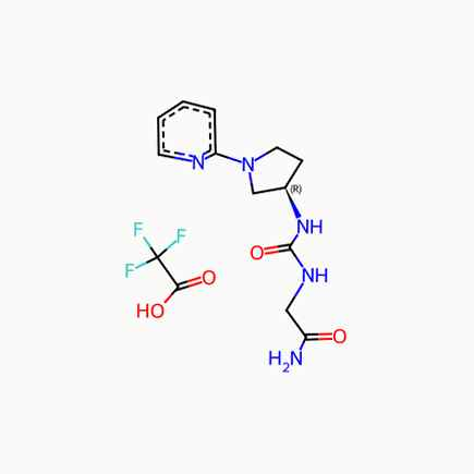 NC(=O)CNC(=O)N[C@@H]1CCN(c2ccccn2)C1.O=C(O)C(F)(F)F